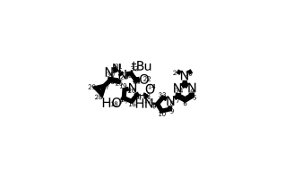 CN(C)c1nccc(N2CC[C@@H](NC(=O)[C@@H]3C[C@@H](O)CN3C(=O)[C@@H](n3cc(C4CC4)nn3)C(C)(C)C)C2)n1